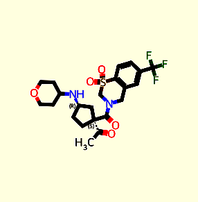 CC(=O)[C@]1(C(=O)N2Cc3cc(C(F)(F)F)ccc3S(=O)(=O)C2)CC[C@@H](NC2CCOCC2)C1